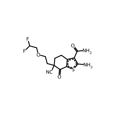 N#CC1(CCOCC(F)F)CCc2c(sc(N)c2C(N)=O)C1=O